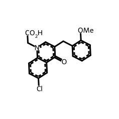 COc1ccccc1Cc1cn(CC(=O)O)c2ccc(Cl)cc2c1=O